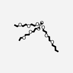 CCCCOCCOCCOP(=O)(OCCOCCOCC)OCCOCCOCC